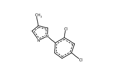 Cc1[c]nn(-c2ccc(Cl)cc2Cl)c1